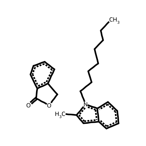 CCCCCCCCn1c(C)cc2ccccc21.O=C1OCc2ccccc21